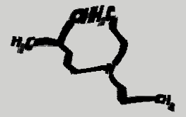 CCN([CH]C(C)O)CC